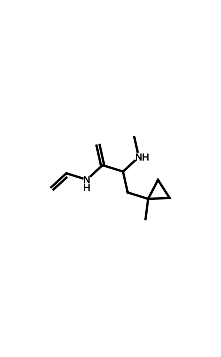 C=CNC(=C)C(CC1(C)CC1)NC